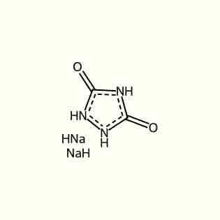 O=c1[nH][nH]c(=O)[nH]1.[NaH].[NaH]